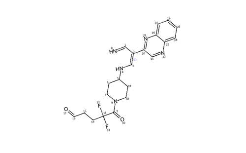 N=C/C(=C\NC1CCN(C(=O)C(F)(F)CCC=O)CC1)c1cnc2ccccc2n1